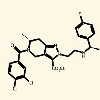 CCOC(=O)c1c2c(nn1CCN[C@H](C)c1ccc(F)cc1)C[C@@H](C)N(C(=O)c1ccc(Cl)c(Cl)c1)C2